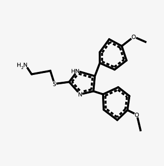 COc1ccc(-c2nc(SCCN)[nH]c2-c2ccc(OC)cc2)cc1